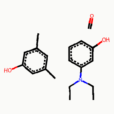 C=O.CCN(CC)c1cccc(O)c1.Cc1cc(C)cc(O)c1